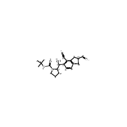 CC(C)(C)OC(=O)N1CCCC1C(O)c1ccc2c(c1C#N)CC(C=O)C2